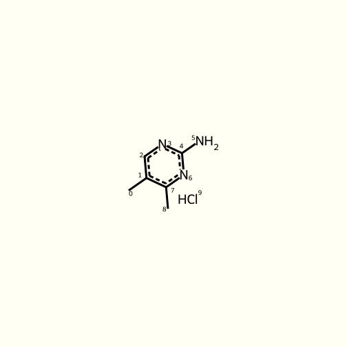 Cc1cnc(N)nc1C.Cl